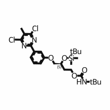 Cc1c(Cl)nc(-c2cccc(OC[C@H](CCOC(=O)NC(C)(C)C)O[Si](C)(C)C(C)(C)C)c2)nc1Cl